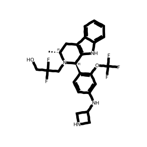 C[C@@H]1Cc2c([nH]c3ccccc23)[C@@H](c2ccc(NC3CNC3)cc2OC(F)(F)F)N1CC(F)(F)CO